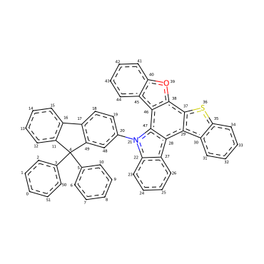 c1ccc(C2(c3ccccc3)c3ccccc3-c3ccc(-n4c5ccccc5c5c6c7ccccc7sc6c6oc7ccccc7c6c54)cc32)cc1